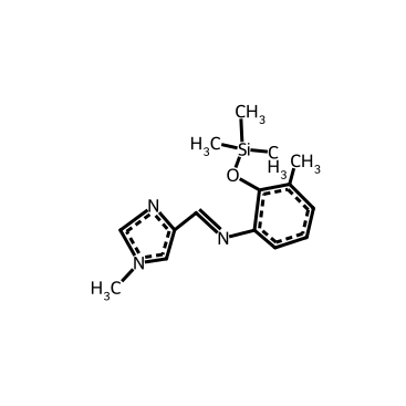 Cc1cccc(N=Cc2cn(C)cn2)c1O[Si](C)(C)C